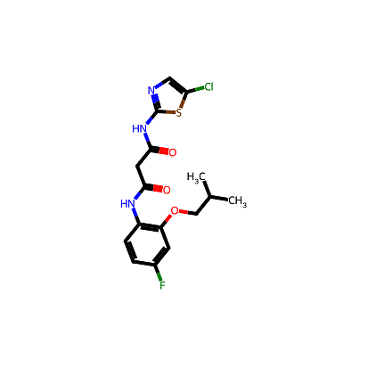 CC(C)COc1cc(F)ccc1NC(=O)CC(=O)Nc1ncc(Cl)s1